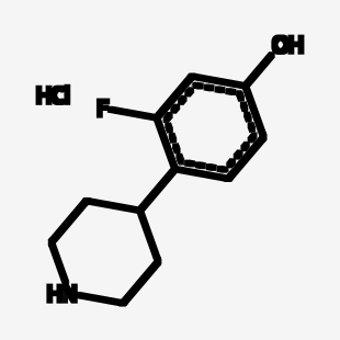 Cl.Oc1ccc(C2CCNCC2)c(F)c1